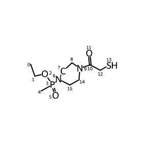 CCOP(C)(=O)N1CCN(C(=O)CS)CC1